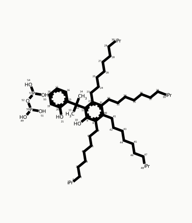 CC(C)CCCCCCCc1c(O)c(C(C)(C)c2ccccc2O)c(CCCCCCCC(C)C)c(CCCCCCCC(C)C)c1CCCCCCCC(C)C.OP(O)OP(O)O